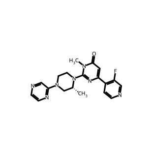 C[C@@H]1CN(c2cnccn2)CCN1c1nc(-c2ccncc2F)cc(=O)n1C